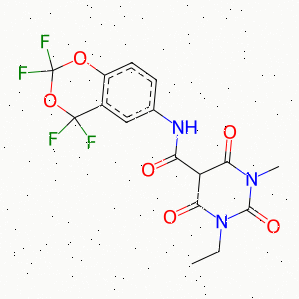 CCN1C(=O)C(C(=O)Nc2ccc3c(c2)C(F)(F)OC(F)(F)O3)C(=O)N(C)C1=O